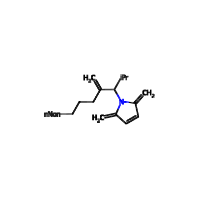 C=C(CCCCCCCCCCCC)C(C(C)C)n1c(=C)ccc1=C